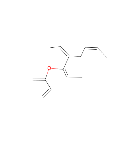 C=CC(=C)OC(=C/C)/C(=C\C)C/C=C\C